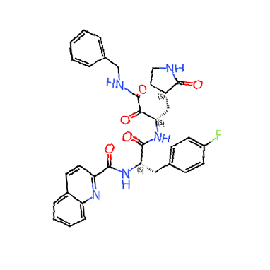 O=C(NCc1ccccc1)C(=O)[C@H](C[C@@H]1CCNC1=O)NC(=O)[C@H](Cc1ccc(F)cc1)NC(=O)c1ccc2ccccc2n1